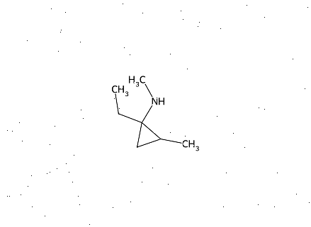 CCC1(NC)CC1C